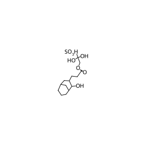 O=C(CCC1CC2CCCC(C2)C1O)OCC(O)(O)S(=O)(=O)O